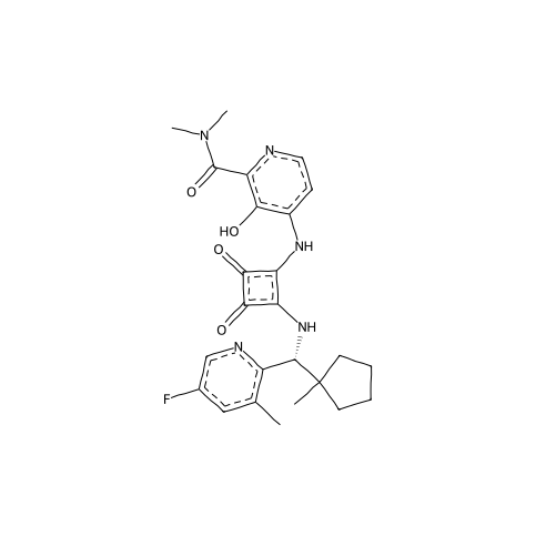 Cc1cc(F)cnc1[C@H](Nc1c(Nc2ccnc(C(=O)N(C)C)c2O)c(=O)c1=O)C1(C)CCCC1